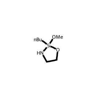 CCCC[Si]1(OC)NCCO1